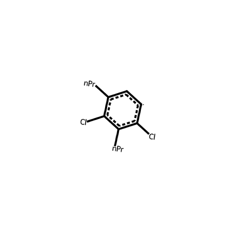 CCCc1c[c]c(Cl)c(CCC)c1Cl